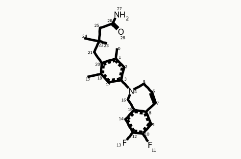 Cc1cc(N2CC=Cc3cc(F)c(F)cc3C2)cc(C)c1CC(C)(C)CC(N)=O